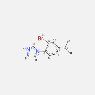 CC(C)c1ccc(-n2ccnc2)c(Br)c1